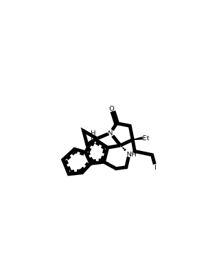 CC[C@]1(CCI)CC(=O)N(C2CC2)[C@@]12NCCc1c2[nH]c2ccccc12